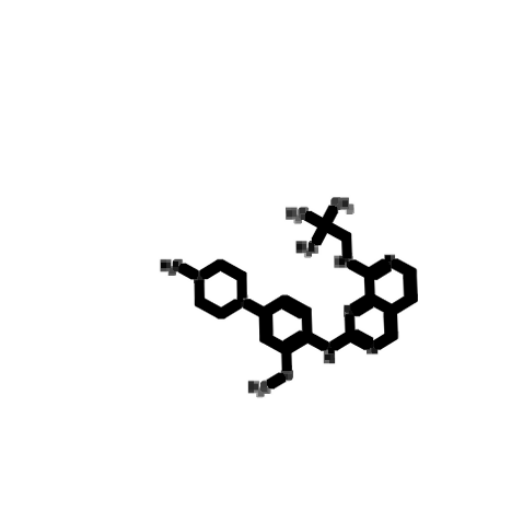 COc1cc(N2CCN(C)CC2)ccc1Nc1ncc2ccnc(NCC(C)(C)C)c2n1